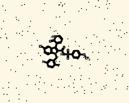 O=C(NS(=O)(=O)c1ccc(OC(F)(F)F)cc1)c1c(-c2ccc[nH]c2=O)c2cc(Cl)ccc2n1Cc1cc(F)ccc1F